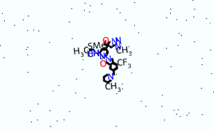 CSC(C)(C)CNc1cc(C2(Cc3nncn3C)COC2)cc(N2Cc3c(cc(CN4CCC[C@H](C)C4)cc3C(F)(F)F)C2=O)n1